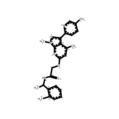 Cc1ccc(-c2nn(C)c3nc(OCC(=O)NC(C)c4ccccc4C)cc(C)c23)nc1